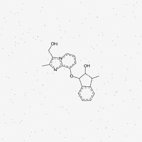 Cc1nc2c(OC3c4ccccc4C(C)C3O)cccn2c1CO